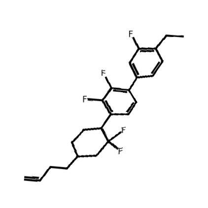 C=CCCC1CCC(c2ccc(-c3ccc(CC)c(F)c3)c(F)c2F)C(F)(F)C1